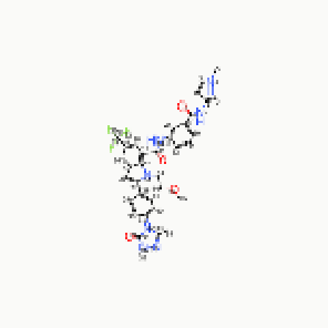 C=C(/C=C\NC)NC(=O)c1cccc(NC(=O)c2cc(C(F)(F)F)cc3cc(-c4ccc(-n5c(C)nn(C)c5=O)cc4)n(CCOC)c23)c1